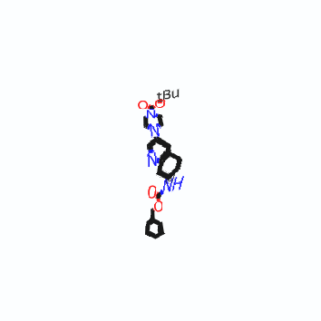 CC(C)(C)OC(=O)N1CCN(c2cnc3c(c2)CC[C@H](NC(=O)OCc2ccccc2)C3)CC1